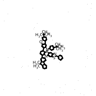 CC(C)(C)c1ccc(N2B3c4cc5nc(-c6ccccc6)sc5cc4-n4c5cc6c(cc5c5ccc(c3c54)-c3cc4oc5cc(C(C)(C)C)ccc5c4cc32)C(C)(C)c2ccccc2-6)cc1